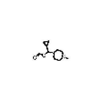 CN1CCN(C(OC=O)[C]2CC2)CC1